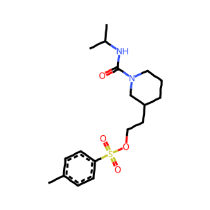 Cc1ccc(S(=O)(=O)OCCC2CCCN(C(=O)NC(C)C)C2)cc1